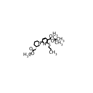 CCCSc1nc(N2CCC[C@@H](CC(=O)OC)C2)ccc1C(=O)OC(C)(C)C